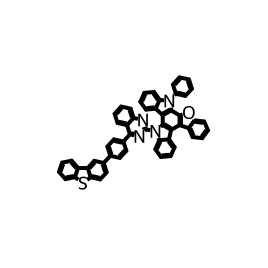 c1ccc(-n2c3ccccc3c3c2c2oc4ccccc4c2c2c4ccccc4n(-c4nc(-c5ccc(-c6ccc7sc8ccccc8c7c6)cc5)c5ccccc5n4)c23)cc1